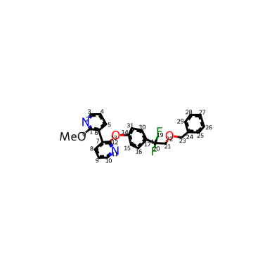 COc1ncccc1-c1cccnc1Oc1ccc(C(F)(F)COCc2ccccc2)cc1